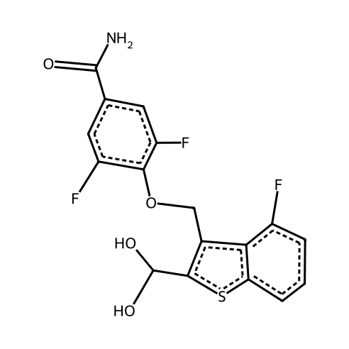 NC(=O)c1cc(F)c(OCc2c(C(O)O)sc3cccc(F)c23)c(F)c1